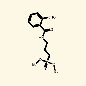 CCOP(=O)(CCCNC(=O)c1ccccc1C=O)OCC